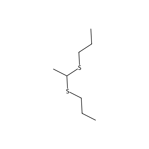 CCCSC(C)SCCC